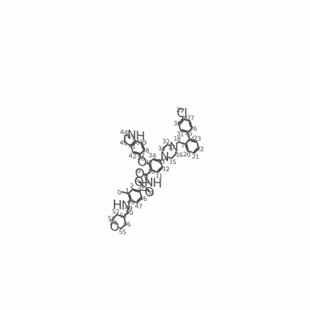 Cc1cc(S(=O)(=O)NC(=O)c2ccc(N3CCN(Cc4ccccc4-c4ccc(Cl)cc4)CC3)cc2Oc2ccc3c(c2)CCN3)ccc1NCC1CCOCC1